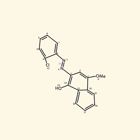 COc1cc(/N=N/c2ccccc2Cl)c(O)c2ccccc12